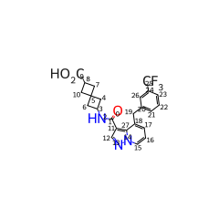 O=C(NC1CC2(C1)CC(C(=O)O)C2)c1cnn2cccc(Cc3cccc(C(F)(F)F)c3)c12